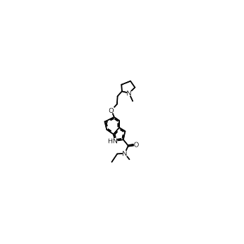 CCN(C)C(=O)c1cc2cc(OCCC3CCCN3C)ccc2[nH]1